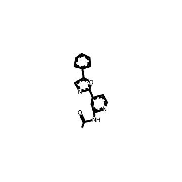 CC(=O)Nc1cc(-c2ncc(-c3ccccc3)o2)ccn1